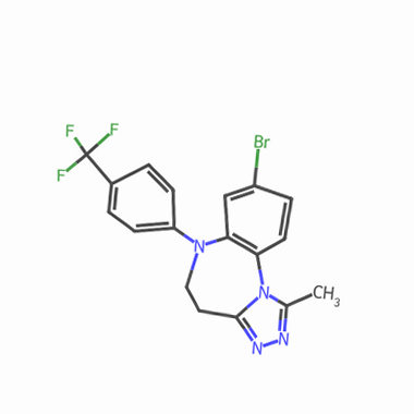 Cc1nnc2n1-c1ccc(Br)cc1N(c1ccc(C(F)(F)F)cc1)CC2